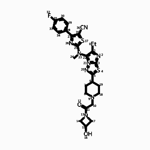 CCc1nc2sc(C3CCN(CC(=O)N4CC(O)C4)CC3)nn2c1N(C)c1nc(-c2ccc(F)cc2)c(C#N)s1